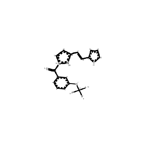 O=C(c1cccc(OC(F)(F)F)c1)n1ccc(C=Cc2cccs2)n1